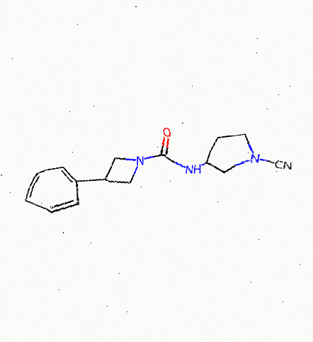 N#CN1CCC(NC(=O)N2CC(c3ccccc3)C2)C1